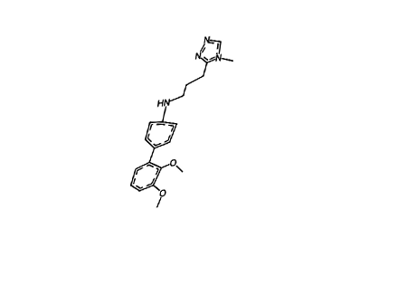 COc1cccc(-c2ccc(NCCCc3nncn3C)cc2)c1OC